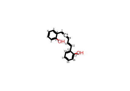 Oc1ccccc1C=C=CC=Cc1ccccc1O